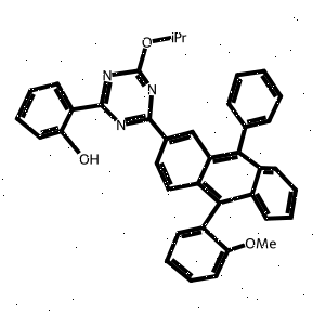 COc1ccccc1-c1c2ccccc2c(-c2ccccc2)c2cc(-c3nc(OC(C)C)nc(-c4ccccc4O)n3)ccc12